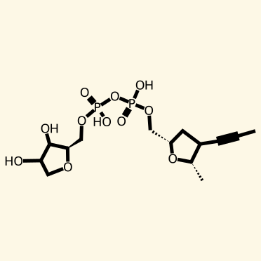 CC#CC1C[C@@H](COP(=O)(O)OP(=O)(O)OC[C@H]2OCC(O)C2O)O[C@H]1C